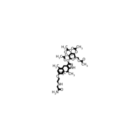 CC(=O)OC[C@H]1O[C@@H](Oc2n[nH]c(C(C)C)c2Cc2ccc(OCCNCC(N)=O)cc2C)[C@H](OC(C)=O)[C@@H](OC(C)=O)[C@@H]1OC(C)=O